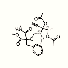 C#CC(OC(C)=O)([C@H](C)OC(C)=O)[C@@H](COC(Cc1ccccc1)(C(=O)NC)C(=O)OC)OC